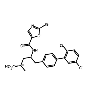 CCc1ncc(C(=O)NC(Cc2ccc(-c3cc(Cl)ccc3Cl)cc2)C[C@@H](C)C(=O)O)o1